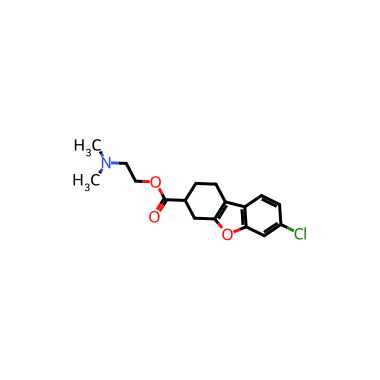 CN(C)CCOC(=O)C1CCc2c(oc3cc(Cl)ccc23)C1